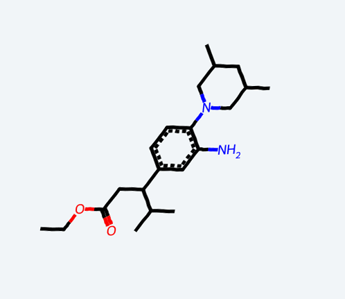 CCOC(=O)CC(c1ccc(N2CC(C)CC(C)C2)c(N)c1)C(C)C